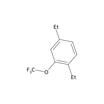 CCc1ccc(CC)c(OC(F)(F)F)c1